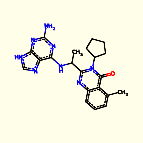 Cc1cccc2nc(C(C)Nc3nc(N)nc4[nH]cnc34)n(C3CCCC3)c(=O)c12